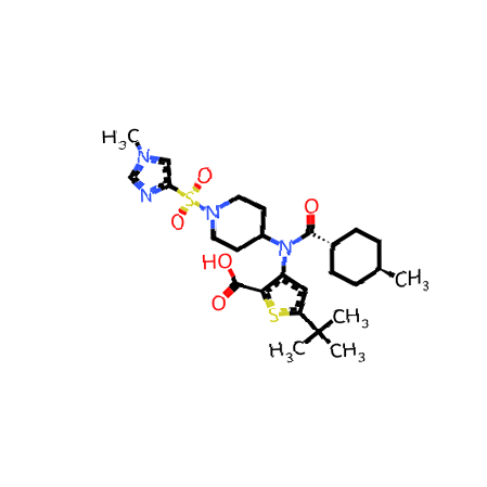 Cn1cnc(S(=O)(=O)N2CCC(N(c3cc(C(C)(C)C)sc3C(=O)O)C(=O)[C@H]3CC[C@H](C)CC3)CC2)c1